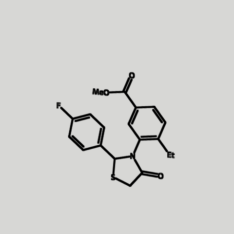 CCc1ccc(C(=O)OC)cc1N1C(=O)CSC1c1ccc(F)cc1